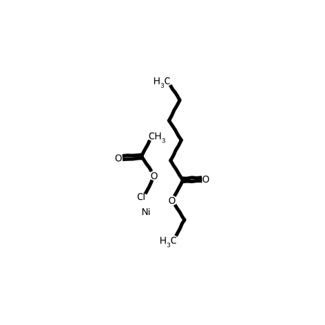 CC(=O)OCl.CCCCCC(=O)OCC.[Ni]